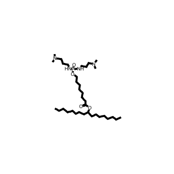 CCCCCCCCC(CCCCCCCC)OC(=O)CCCCCCCOP(=O)(NCCCN(C)C)NCCCN(C)C